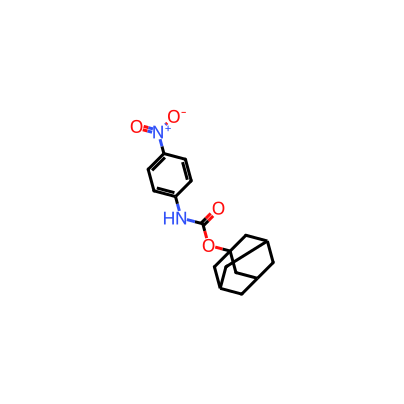 O=C(Nc1ccc([N+](=O)[O-])cc1)OC12CC3CC(CC(C3)C1)C2